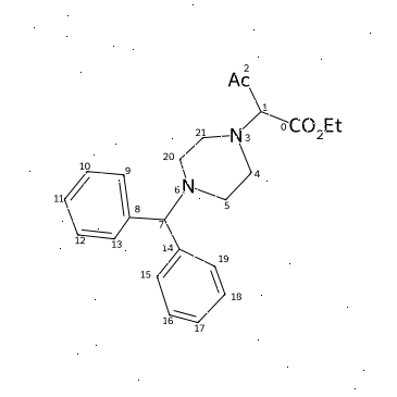 CCOC(=O)C(C(C)=O)N1CCN(C(c2ccccc2)c2ccccc2)CC1